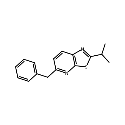 CC(C)c1nc2ccc(Cc3ccccc3)nc2s1